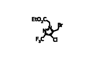 CCOC(=O)Cn1nc(C(F)(F)F)c(Cl)c1CBr